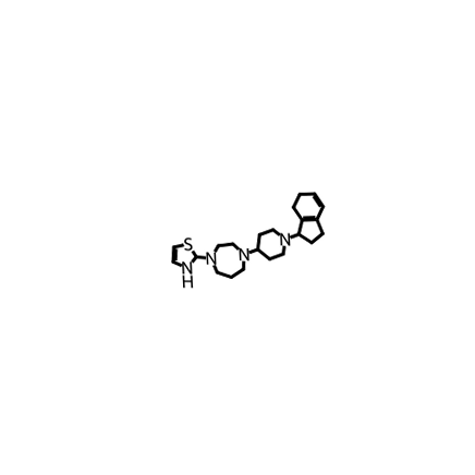 C1=CC2=C(CC1)C(N1CCC(N3CCCN(C4NC=CS4)CC3)CC1)CC2